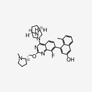 Cc1cccc2cc(O)cc(-c3ccc4c(N5C[C@H]6CC[C@@H](C5)N6)nc(OC[C@@H]5CCCN5C)nc4c3F)c12